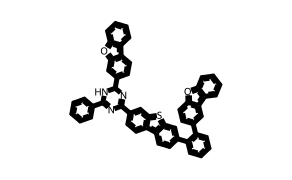 c1ccc(C2=NC(c3ccc4c(c3)sc3cc(-c5ccccc5-c5ccc6oc7ccccc7c6c5)ccc34)=NC(c3ccc4c(c3)oc3ccccc34)N2)cc1